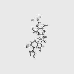 COc1nc(NS(=O)(=O)c2c[nH]c3c(-n4cccn4)c(Br)ccc23)nc(OC)c1OCC(F)F